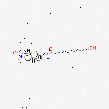 CN1C(=O)CC[C@@]2(C)C1CC[C@@H]1[C@H]2CC[C@]2(C)C(CNC(=O)CCCCCCCCCCCO)CC[C@@H]12